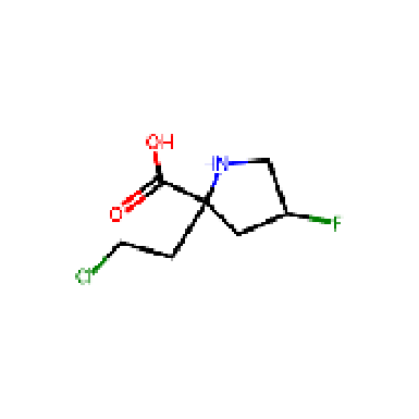 O=C(O)C1(CCCl)CC(F)CN1